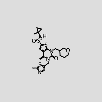 C=C1c2cc([S+]([O-])NC3(C)CC3)sc2N(CC2CCCOC2)C(=O)N1Cc1cnc(C)s1